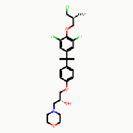 CC(=O)O[C@H](CCl)COc1c(Cl)cc(C(C)(C)c2ccc(OC[C@H](O)CN3CCOCC3)cc2)cc1Cl